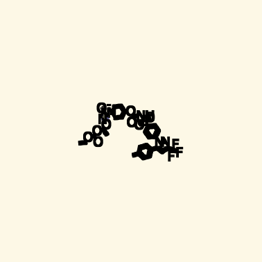 CCOC(=O)OC(C)O/N=[N+](/[O-])N1CCC(OC(=O)NS(=O)(=O)c2ccc(-n3nc(C(F)(F)F)cc3-c3ccc(C)cc3)cc2)CC1